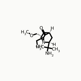 COC[C@]1(CO)C(=O)[C@H]2CCN1[C@H](C(C)(C)N)C2